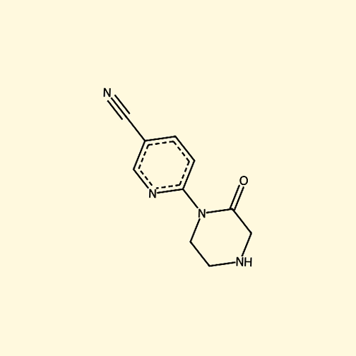 N#Cc1ccc(N2CCNCC2=O)nc1